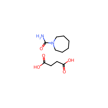 NC(=O)N1CCCCCC1.O=C(O)CCC(=O)O